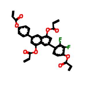 C=CC(=O)Oc1ccc(-c2cc(OC(=O)C=C)c3cc(-c4ccc(OC(=O)C=C)c(F)c4F)cc(OC(=O)C=C)c3c2)cc1